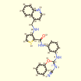 N#C/N=C(/Nc1cccc(NC(=O)c2sccc2NCc2ccnc3ccccc23)c1)Oc1ccccc1